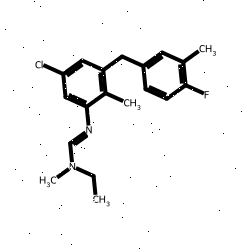 CCN(C)C=Nc1cc(Cl)cc(Cc2ccc(F)c(C)c2)c1C